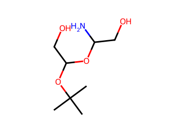 CC(C)(C)OC(CO)OC(N)CO